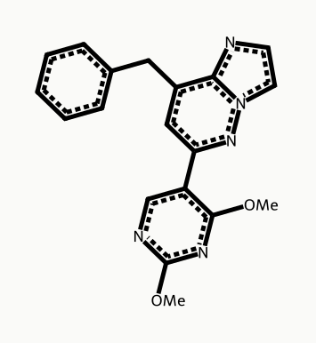 COc1ncc(-c2cc(Cc3ccccc3)c3nccn3n2)c(OC)n1